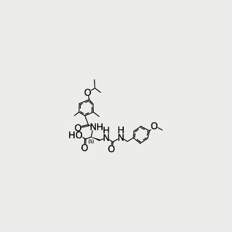 COc1ccc(CNC(=O)NC[C@H](NC(=O)c2c(C)cc(OC(C)C)cc2C)C(=O)O)cc1